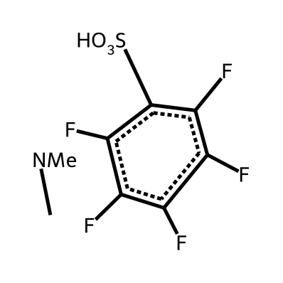 CNC.O=S(=O)(O)c1c(F)c(F)c(F)c(F)c1F